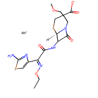 CCON=C(C(=O)NC1C(=O)N2CC(COC)(C(=O)[O-])CS[C@H]12)c1csc(N)n1.[Na+]